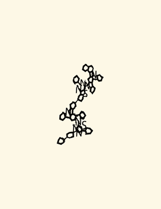 c1ccc(-c2ccc(-c3nc(-n4c5ccccc5c5c6c7cc(-c8ccc9sc%10c(-n%11c%12ccccc%12c%12c%13c%14ccccc%14n%14c%15ccc%16ccccc%16c%15c(cc%12%11)c%13%14)nc(-c%11ccccc%11)nc%10c9c8)ccc7n7c8ccccc8c(cc54)c67)c4sc5ccccc5c4n3)cc2)cc1